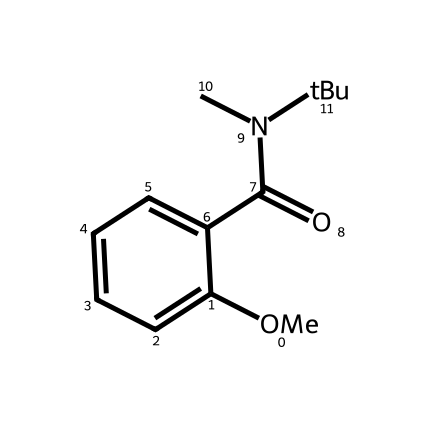 COc1ccccc1C(=O)N(C)C(C)(C)C